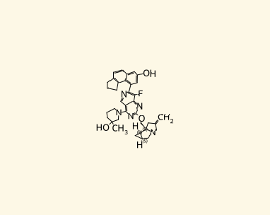 C=C1CN2C[C@H]3C[C@H]3[C@]2(COc2nc(N3CCCC(C)(O)C3)c3cnc(-c4cc(O)cc5ccc6c(c45)CCC6)c(F)c3n2)C1